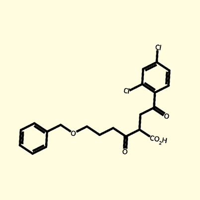 O=C(CC(C(=O)O)C(=O)CCCOCc1ccccc1)c1ccc(Cl)cc1Cl